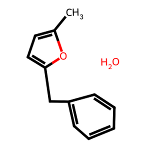 Cc1ccc(Cc2ccccc2)o1.O